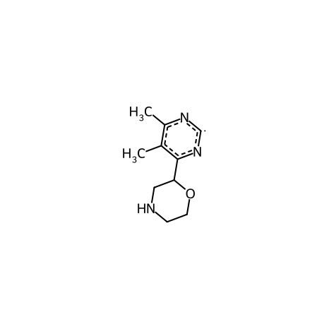 Cc1n[c]nc(C2CNCCO2)c1C